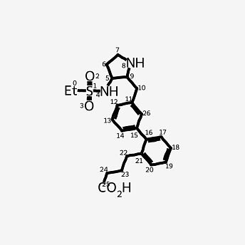 CCS(=O)(=O)NC1CCNC1Cc1cccc(-c2ccccc2CCCC(=O)O)c1